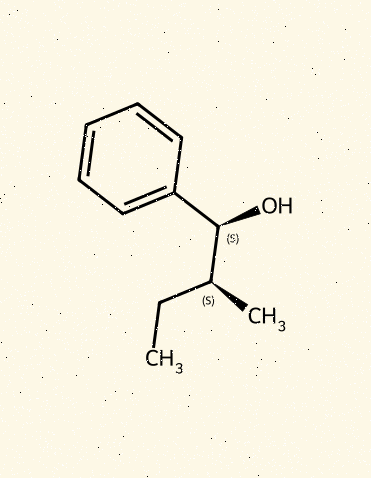 CC[C@H](C)[C@H](O)c1ccccc1